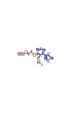 Cc1c(OCCOC(C)(C)C)ncnc1-n1cncn1